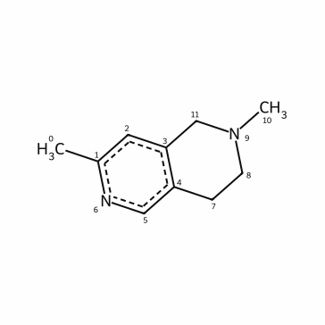 Cc1cc2c(cn1)CCN(C)C2